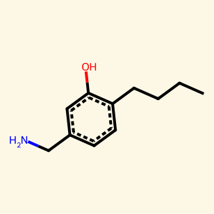 CCCCc1ccc(CN)cc1O